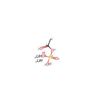 CC(=O)OP(=O)(O)O.[LiH].[LiH]